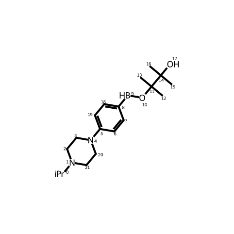 CC(C)N1CCN(c2ccc(BOC(C)(C)C(C)(C)O)cc2)CC1